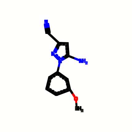 BOc1cccc(-n2nc(C#N)cc2N)c1